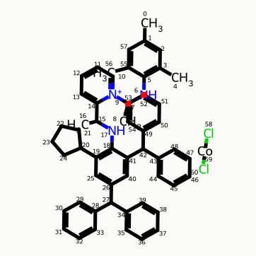 Cc1cc(C)c(NC(C)[n+]2ccccc2C(C)Nc2c(C3CCCC3)cc(C(c3ccccc3)c3ccccc3)cc2C(c2ccccc2)c2ccccc2)c(C)c1.[Cl][Co][Cl]